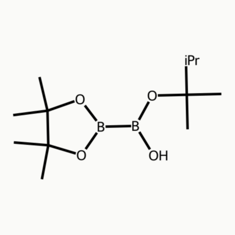 CC(C)C(C)(C)OB(O)B1OC(C)(C)C(C)(C)O1